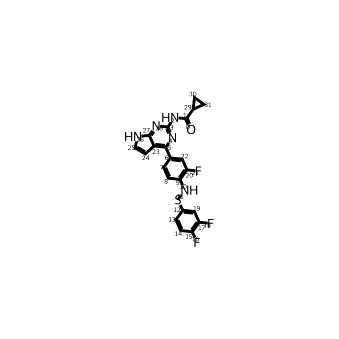 O=C(Nc1nc(-c2ccc(NSc3ccc(F)c(F)c3)c(F)c2)c2cc[nH]c2n1)C1CC1